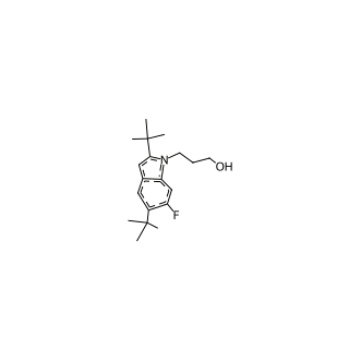 CC(C)(C)c1cc2cc(C(C)(C)C)n(CCCO)c2cc1F